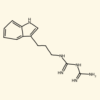 N=C(N)NC(=N)NCCCc1c[nH]c2ccccc12